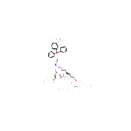 CCCCCCCCCCCCC(CN(CCCCCCCC(=O)OC(CCCCCCCC)CCCCCCCC)CCCOC(c1ccccc1)(c1ccccc1)c1ccc(OC)cc1)O[Si](C)(C)C(C)(C)C